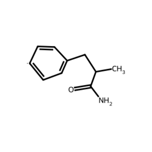 CC(Cc1cc[c]cc1)C(N)=O